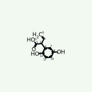 C=CC(C(=O)O)c1cc(O)ccc1O